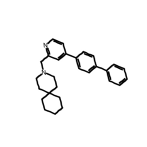 c1ccc(-c2ccc(-c3ccnc(CN4CCC5(CCCCC5)CC4)c3)cc2)cc1